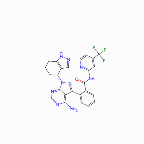 Nc1ncnc2c1c(-c1ccccc1C(=O)Nc1cc(C(F)(F)F)ccn1)nn2C1CCCc2[nH]ncc21